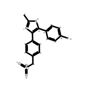 Cc1nc(-c2ccc(C[SH](=O)=O)cc2)c(-c2ccc(F)cc2)s1